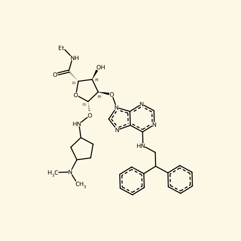 CCNC(=O)[C@H]1O[C@@H](ONC2CCC(N(C)C)C2)[C@H](On2cnc3c(NCC(c4ccccc4)c4ccccc4)ncnc32)[C@@H]1O